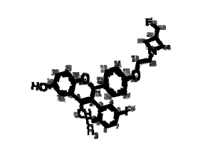 CC1=C(c2cc(F)ccc2C)[C@H](c2ccc(OCCN3CC(CF)C3)cc2)Oc2ccc(O)cc21